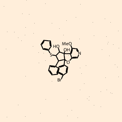 COc1cncc2c1C1(O)C(O)C(Sc3ccccc3)C(c3ccccc3)C1(c1ccc(Br)cc1)O2